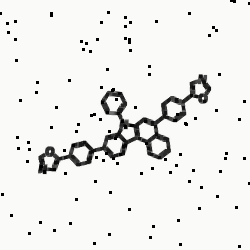 c1ccc(-n2c3cc(-c4ccc(-c5cnco5)cc4)ccc3c3c4ccccc4c(-c4ccc(-c5cnco5)cc4)cc32)cc1